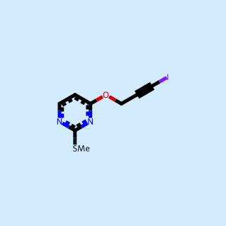 CSc1nccc(OCC#CI)n1